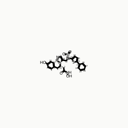 O=C(C[C@H](Cc1ccc(O)cc1)n1nncc1CN(c1ccc(-c2ccccc2)s1)[SH](=O)=O)NO